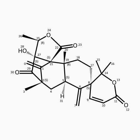 C=C1[C@]2(C)C[C@@H]3C(=C)[C@@]4(C=CC(=O)OC4(C)C)CC[C@@]3(C)[C@]13C(=O)O[C@H](C)[C@]3(O)C2=O